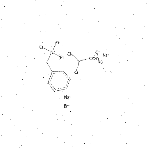 CC[N+](CC)(CC)Cc1ccccc1.O=C([O-])C(Cl)Cl.O=N[O-].[Br-].[Na+].[Na+]